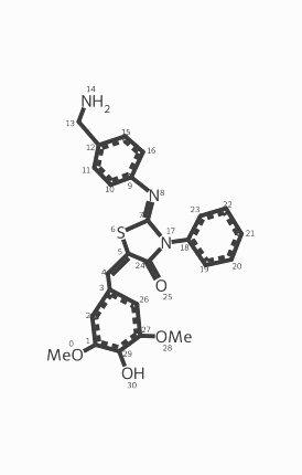 COc1cc(C=C2SC(=Nc3ccc(CN)cc3)N(c3ccccc3)C2=O)cc(OC)c1O